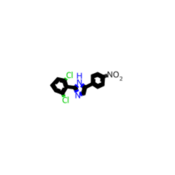 O=[N+]([O-])c1ccc(-c2cnc(-c3c(Cl)cccc3Cl)[nH]2)cc1